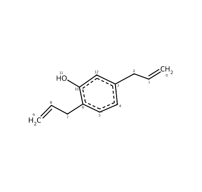 C=CCc1c[c]c(CC=C)c(O)c1